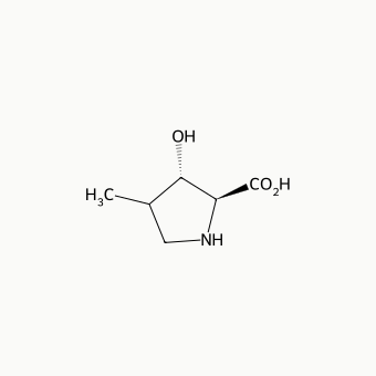 CC1CN[C@H](C(=O)O)[C@H]1O